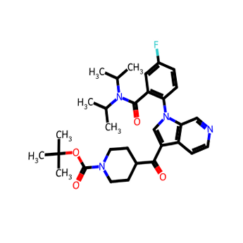 CC(C)N(C(=O)c1cc(F)ccc1-n1cc(C(=O)C2CCN(C(=O)OC(C)(C)C)CC2)c2ccncc21)C(C)C